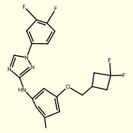 Cc1cc(Nc2ncn(-c3ccc(F)c(F)c3)n2)cc(OCC2CC(F)(F)C2)c1